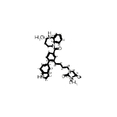 C[C@H]1CCN(C(=O)c2ccc(-c3ccc4[nH]ccc4c3)c(CCCCN3CC(=O)N(C)C3=O)c2)c2ccccc2N1